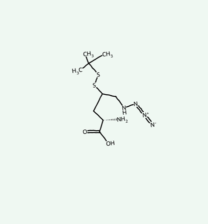 CC(C)(C)SSC(CNN=[N+]=[N-])C[C@H](N)C(=O)O